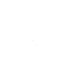 CN1CCC(C(C)(C)C)C(F)C1